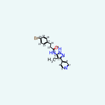 Cc1c(-c2ccncc2)n[nH]c1NC(=O)CCc1ccc(Br)cc1